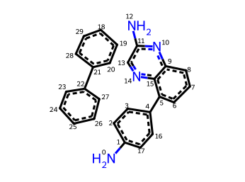 Nc1ccc(-c2cccc3nc(N)cnc23)cc1.c1ccc(-c2ccccc2)cc1